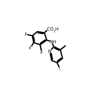 Cc1cc(I)cnc1Nc1c(C(=O)O)cc(F)c(F)c1F